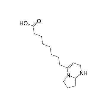 O=C(O)CCCCCCCC1=CCNC2CCCN12